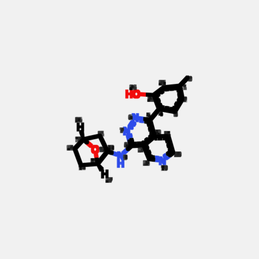 Cc1ccc(-c2nnc(NC3C[C@H]4CC[C@@H]3O4)c3cnccc23)c(O)c1